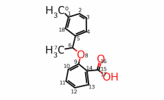 Cc1cccc(C(C)Oc2ccccc2C(=O)O)c1